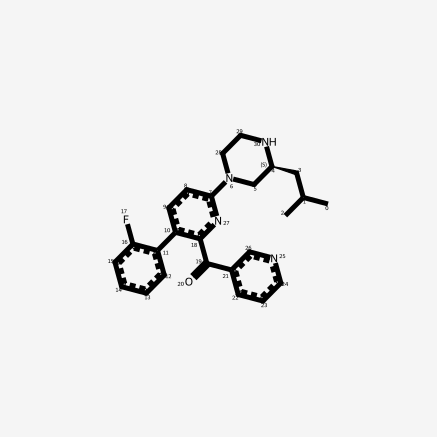 CC(C)C[C@H]1CN(c2ccc(-c3ccccc3F)c(C(=O)c3cccnc3)n2)CCN1